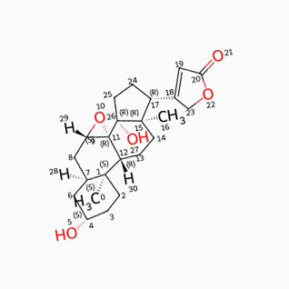 C[C@]12CC[C@H](O)C[C@H]1C[C@@H]1O[C@]13[C@@H]2CC[C@]1(C)[C@@H](C2=CC(=O)OC2)CC[C@]31O